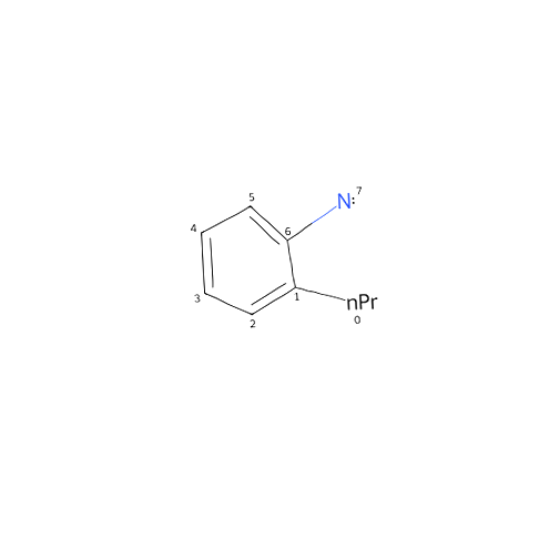 CCCc1ccccc1[N]